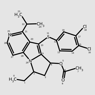 CCC1CC(OC(C)=O)c2c(Sc3ccc(Cl)c(Cl)c3)c3c(C(C)C)nccc3n21